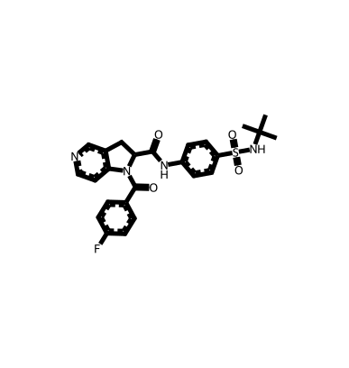 CC(C)(C)NS(=O)(=O)c1ccc(NC(=O)C2Cc3cnccc3N2C(=O)c2ccc(F)cc2)cc1